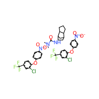 CN(C)C(=O)NC1CC2CC1C1CCCC21.O=[N+]([O-])c1ccc(Oc2ccc(C(F)(F)F)cc2Cl)cc1.O=[N+]([O-])c1ccc(Oc2ccc(C(F)(F)F)cc2Cl)cc1